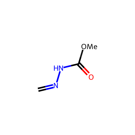 C=NNC(=O)OC